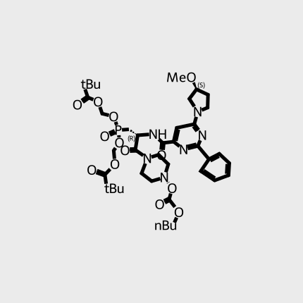 CCCCOC(=O)ON1CCN(C(=O)[C@H](CP(=O)(OCOC(=O)C(C)(C)C)OCOC(=O)C(C)(C)C)NC(=O)c2cc(N3CC[C@H](OC)C3)nc(-c3ccccc3)n2)CC1